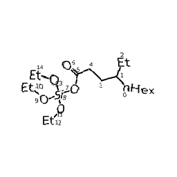 CCCCCCC(CC)CCC(=O)O[Si](OCC)(OCC)OCC